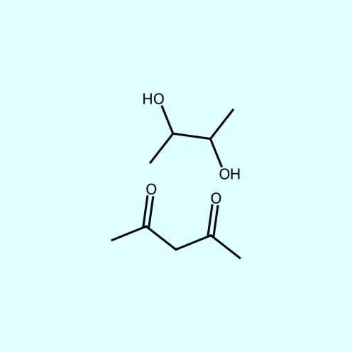 CC(=O)CC(C)=O.CC(O)C(C)O